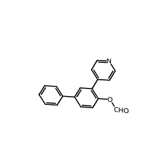 O=COc1ccc(-c2ccccc2)cc1-c1ccncc1